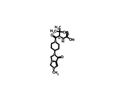 CN1C=C2C(=O)N(C3CCN(C(=O)[C@H](NC(=O)O)C(C)(C)C)CC3)CN2C1